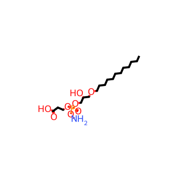 CCCCCCCCCCCCOCC(O)COP(=O)(ON)OCCC(=O)O